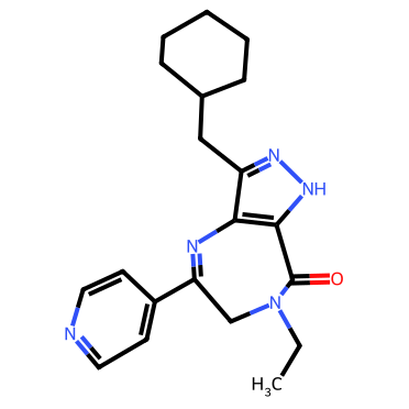 CCN1CC(c2ccncc2)=Nc2c(CC3CCCCC3)n[nH]c2C1=O